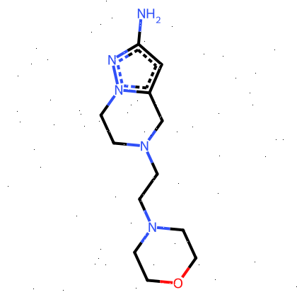 Nc1cc2n(n1)CCN(CCN1CCOCC1)C2